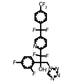 OC(Cn1cnnn1)(c1ccc(F)cc1F)C(F)(F)c1ccc(C(F)(F)c2ccc(C(F)(F)F)cc2)cn1